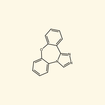 c1ccc2c(c1)Oc1ccccc1-n1cnnc1-2